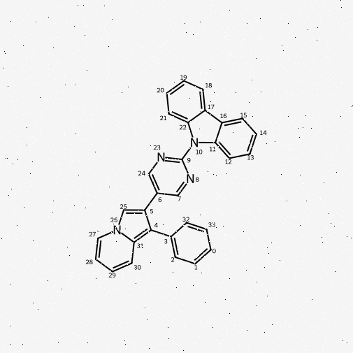 c1ccc(-c2c(-c3cnc(-n4c5ccccc5c5ccccc54)nc3)cn3ccccc23)cc1